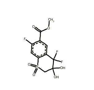 COC(=O)c1cc2c(cc1F)S(=O)(=O)CC(O)(O)C2(F)F